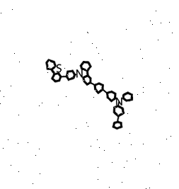 c1ccc(-c2ccc(N(c3ccccc3)c3ccc(-c4ccc(-c5ccc6c(c5)c5ccccc5n6-c5ccc(-c6cccc7c6sc6ccccc67)cc5)cc4)cc3)cc2)cc1